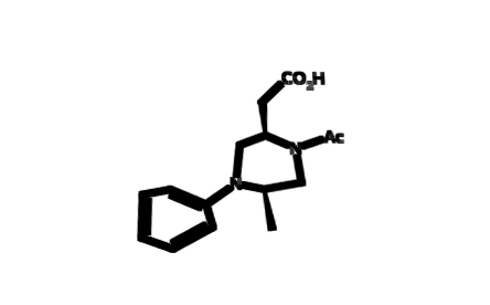 CC(=O)N1C[C@@H](C)N(c2ccccc2)C[C@H]1CC(=O)O